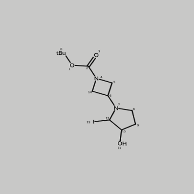 CC(C)(C)OC(=O)N1CC(N2CCC(O)C2I)C1